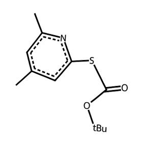 Cc1cc(C)nc(SC(=O)OC(C)(C)C)c1